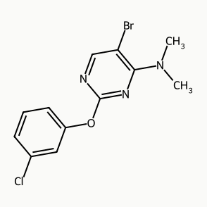 CN(C)c1nc(Oc2cccc(Cl)c2)ncc1Br